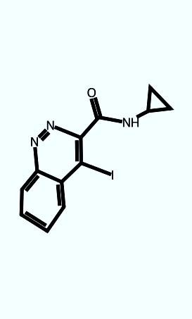 O=C(NC1CC1)c1nnc2ccccc2c1I